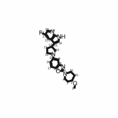 COC1CCN(c2nc3cc(N4CCC(c5c[nH]c6ncc(F)cc56)C4)ccc3o2)CC1